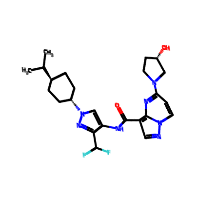 CC(C)[C@H]1CC[C@H](n2cc(NC(=O)c3cnn4ccc(N5CC[C@H](O)C5)nc34)c(C(F)F)n2)CC1